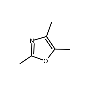 Cc1nc(I)oc1C